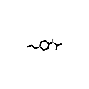 CCCN1CCC(NC(C)C)CC1